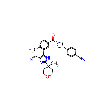 Cc1ccc(C(=O)N2CC(c3ccc(C#N)cc3)C2)cc1-c1[nH]c(C2(C)CCOCC2)nc1C=N